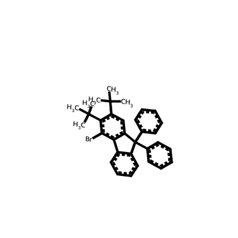 CC(C)(C)c1cc2c(c(Br)c1C(C)(C)C)-c1ccccc1C2(c1ccccc1)c1ccccc1